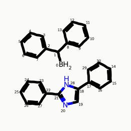 BC(c1ccccc1)c1ccccc1.c1ccc(-c2cnc(-c3ccccc3)[nH]2)cc1